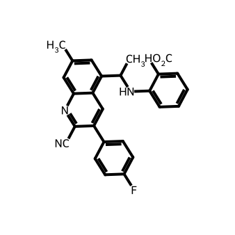 Cc1cc(C(C)Nc2ccccc2C(=O)O)c2cc(-c3ccc(F)cc3)c(C#N)nc2c1